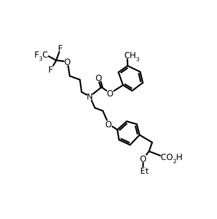 CCOC(Cc1ccc(OCCN(CCCOC(F)(F)C(F)(F)F)C(=O)Oc2cccc(C)c2)cc1)C(=O)O